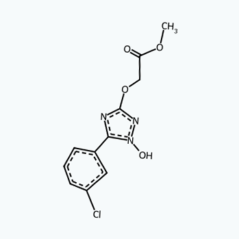 COC(=O)COc1nc(-c2cccc(Cl)c2)n(O)n1